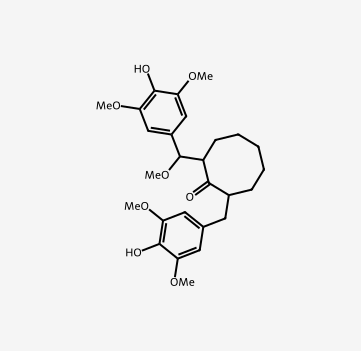 COc1cc(CC2CCCCCC(C(OC)c3cc(OC)c(O)c(OC)c3)C2=O)cc(OC)c1O